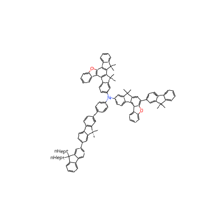 CCCCCCCC1(CCCCCCC)c2ccccc2-c2ccc(-c3ccc4c(c3)C(C)(C)c3cc(-c5ccc(N(c6ccc7c(c6)C(C)(C)c6cc(-c8ccc9c(c8)C(C)(C)c8ccccc8-9)c8oc9ccccc9c8c6-7)c6ccc7c(c6)C(C)(C)c6c8c(c9oc%10ccccc%10c9c6-7)-c6ccccc6C8(C)C)cc5)ccc3-4)cc21